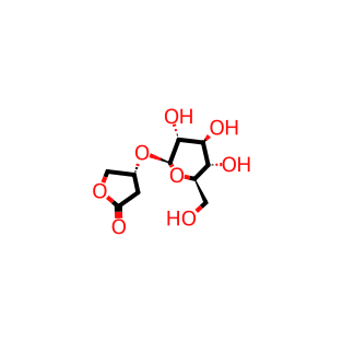 O=C1C[C@@H](O[C@@H]2O[C@H](CO)[C@@H](O)[C@H](O)[C@H]2O)CO1